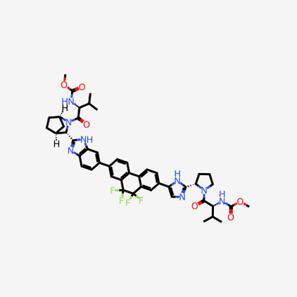 COC(=O)N[C@H](C(=O)N1CCC[C@H]1c1ncc(-c2ccc3c(c2)C(F)(F)C(F)(F)c2cc(-c4ccc5nc([C@@H]6[C@H]7CC[C@H](C7)N6C(=O)[C@@H](NC(=O)OC)C(C)C)[nH]c5c4)ccc2-3)[nH]1)C(C)C